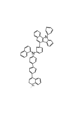 C[C@@H]1CC=C(c2ccc(-c3ccc(N(c4cccc(-c5cc6ccccc6c6c5c5ccccc5n6-c5ccccc5)c4)c4cccc5ccccc45)cc3)cc2)c2ccccc21